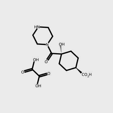 O=C(O)C(=O)O.O=C(O)[C@H]1CC[C@@](O)(C(=O)N2CCNCC2)CC1